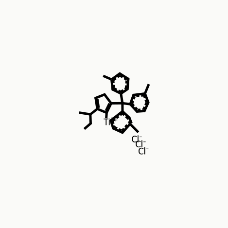 CCC(C)C1=CCC(C(c2cccc(C)c2)(c2cccc(C)c2)c2cccc(C)c2)=[C]1[Ti+3].[Cl-].[Cl-].[Cl-]